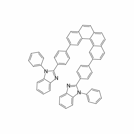 c1ccc(-n2c(-c3ccc(-c4ccc5ccc6ccc7ccc(-c8ccc(-c9nc%10ccccc%10n9-c9ccccc9)cc8)cc7c6c5c4)cc3)nc3ccccc32)cc1